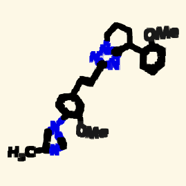 COc1ccccc1C1CCCn2nc(C=Cc3ccc(-n4cnc(C)c4)c(OC)c3)nc21